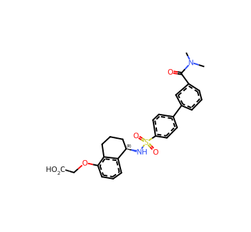 CN(C)C(=O)c1cccc(-c2ccc(S(=O)(=O)N[C@@H]3CCCc4c(OCC(=O)O)cccc43)cc2)c1